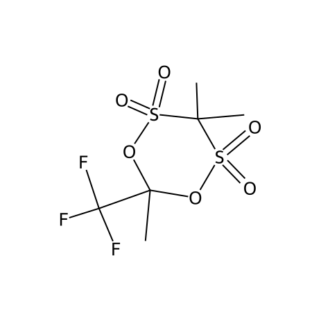 CC1(C(F)(F)F)OS(=O)(=O)C(C)(C)S(=O)(=O)O1